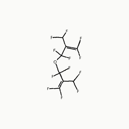 FC(F)=C(C(F)F)C(F)(F)OC(F)(F)C(=C(F)F)C(F)F